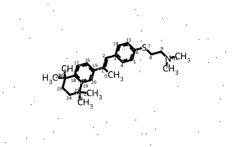 C/C(=C\c1ccc(SCCN(C)C)cc1)c1ccc2c(c1)C(C)(C)CCC2(C)C